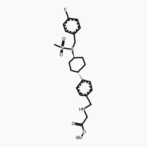 CC(C)(C)OC(=O)CNCc1ccc([C@H]2CC[C@H](N(Cc3ccc(F)cc3)S(C)(=O)=O)CC2)cc1